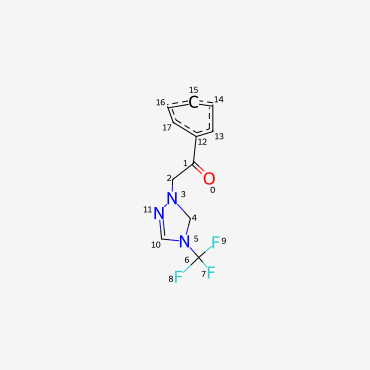 O=C(CN1CN(C(F)(F)F)C=N1)c1ccccc1